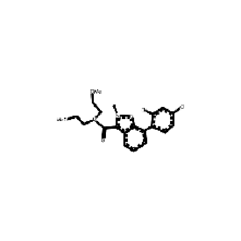 COCCN(CCOC)C(=O)c1c2cccc(-c3ccc(Cl)cc3Cl)c2nn1C